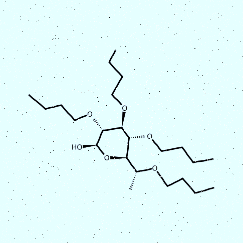 CCCCO[C@H]1[C@H](OCCCC)[C@@H]([C@@H](C)OCCCC)O[C@@H](O)[C@@H]1OCCCC